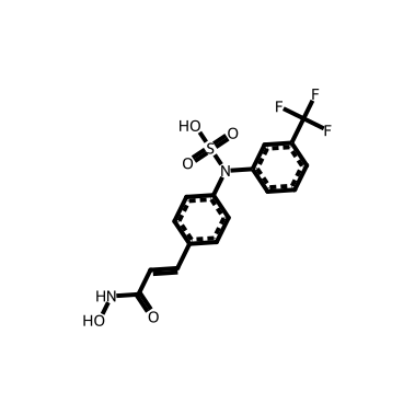 O=C(/C=C/c1ccc(N(c2cccc(C(F)(F)F)c2)S(=O)(=O)O)cc1)NO